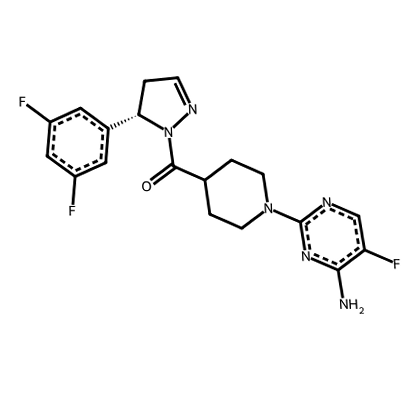 Nc1nc(N2CCC(C(=O)N3N=CC[C@H]3c3cc(F)cc(F)c3)CC2)ncc1F